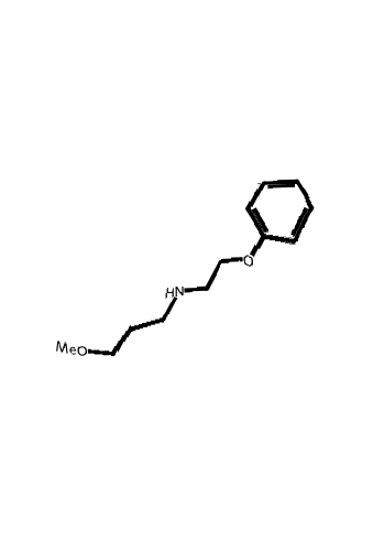 COCCCNCCOc1c[c]ccc1